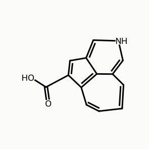 O=C(O)c1cc2c[nH]cc3ccccc1c32